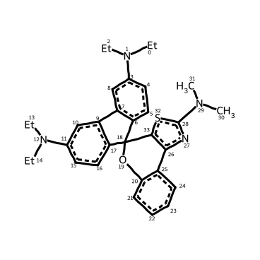 CCN(CC)c1ccc2c(c1)-c1cc(N(CC)CC)ccc1C21Oc2ccccc2-c2nc(N(C)C)sc21